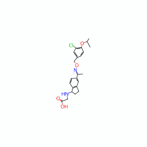 C/C(=N\OCc1ccc(OC(C)C)c(Cl)c1)c1ccc2c(c1)CCC2NCC(=O)O